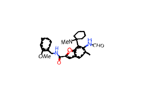 CNC1(c2c(NC=O)c(C)cc3cc(C(=O)NCc4ccccc4OC)oc23)CCCCC1